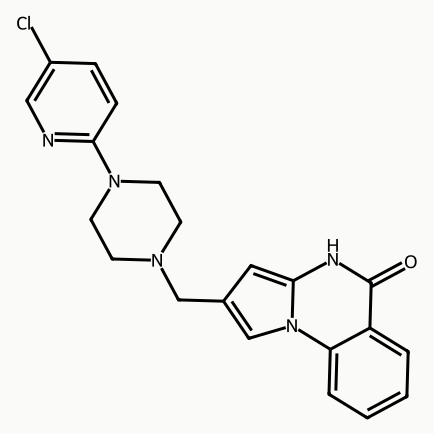 O=c1[nH]c2cc(CN3CCN(c4ccc(Cl)cn4)CC3)cn2c2ccccc12